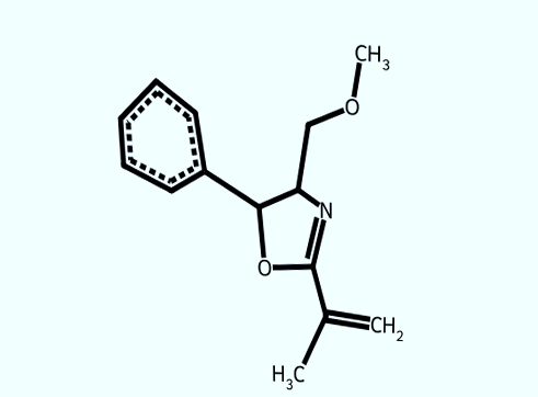 C=C(C)C1=NC(COC)C(c2ccccc2)O1